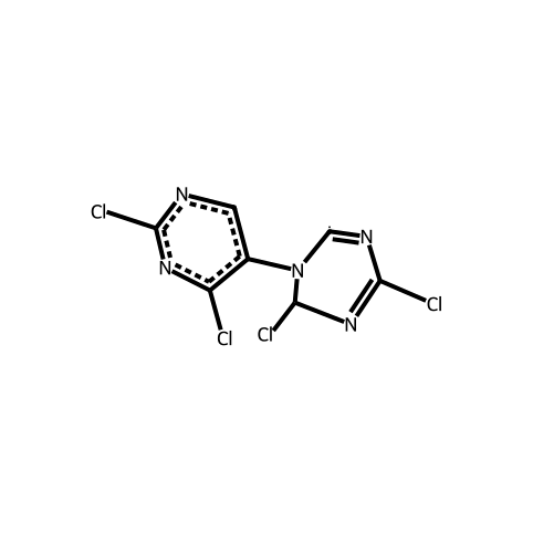 ClC1=NC(Cl)N(c2cnc(Cl)nc2Cl)[C]=N1